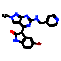 Cn1cc2c(C3C(=O)Nc4ccc(Br)cc43)nc(NCc3ccncc3)nc2n1